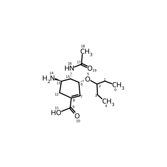 CCC(CC)O[C@@H]1C=C(C(=O)O)C[C@@H](N)[C@@H]1NC(C)=O